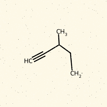 C#CC(C)C[CH2]